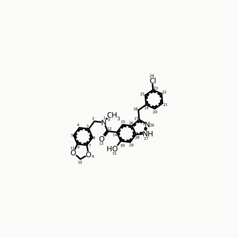 CN(Cc1ccc2c(c1)OCO2)C(=O)c1cc2c(Cc3cccc(Cl)c3)n[nH]c2cc1O